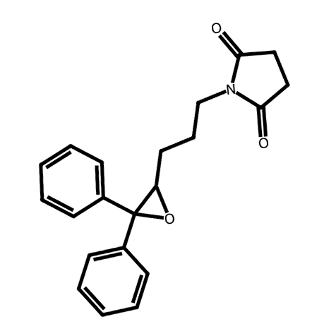 O=C1CCC(=O)N1CCCC1OC1(c1ccccc1)c1ccccc1